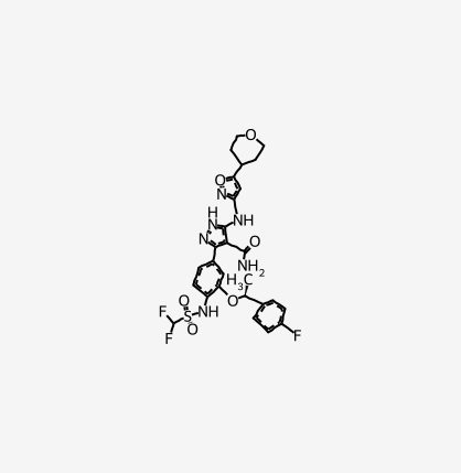 C[C@H](Oc1cc(-c2n[nH]c(Nc3cc(C4CCOCC4)on3)c2C(N)=O)ccc1NS(=O)(=O)C(F)F)c1ccc(F)cc1